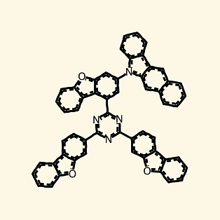 c1ccc2cc3c(cc2c1)c1ccccc1n3-c1cc(-c2nc(-c3ccc4c(c3)oc3ccccc34)nc(-c3ccc4c(c3)oc3ccccc34)n2)c2c(c1)oc1ccccc12